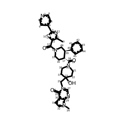 Cc1nc(-c2ccncc2)sc1C(=O)N1CC[C@@H](C(=O)N2CCC(O)(Cn3cnc4c(ccn4C)c3=O)CC2)[C@H](c2ccccc2)C1